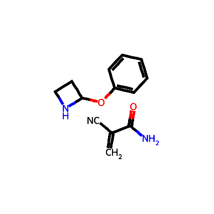 C=C(C#N)C(N)=O.c1ccc(OC2CCN2)cc1